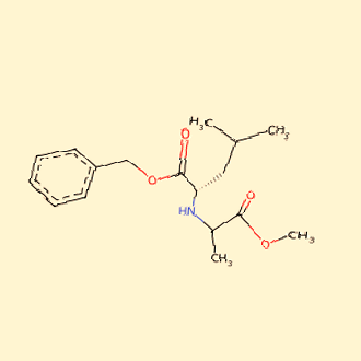 COC(=O)C(C)N[C@@H](CC(C)C)C(=O)OCc1ccccc1